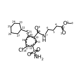 COC(=O)CCCNC(=O)c1cc(S(N)(=O)=O)c(Cl)cc1SC1CCCCC1